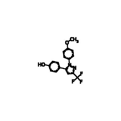 COc1ccc(-n2nc(C(F)(F)F)cc2-c2ccc(O)cc2)cc1